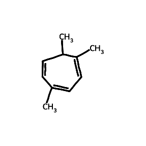 CC1=CC=C(C)C(C)C=C1